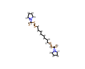 S=C(SSCCCCCCCCSSC(=S)N1CCCC1)N1CCCC1